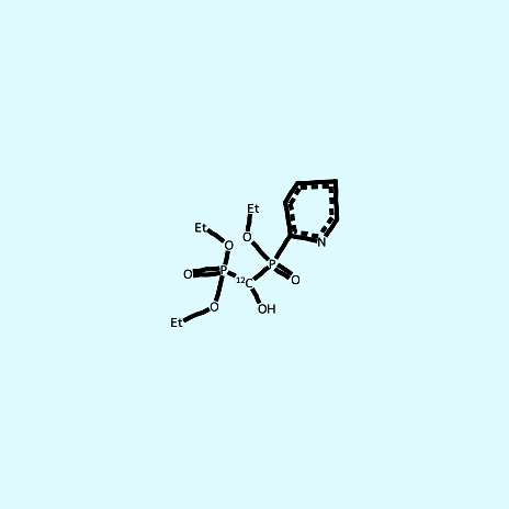 CCOP(=O)(OCC)[12CH](O)P(=O)(OCC)c1ccccn1